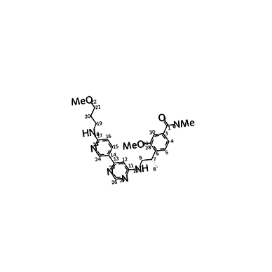 CNC(=O)c1ccc([C@H](C)CNc2cc(-c3ccc(NCCCOC)nc3)ncn2)c(OC)c1